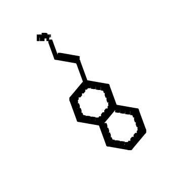 [CH2]CC/C=C/c1ccc2ccccc2c1